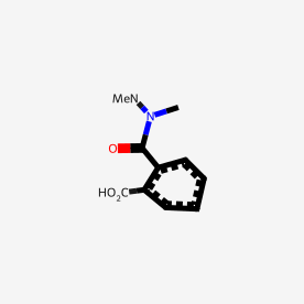 CNN(C)C(=O)c1ccccc1C(=O)O